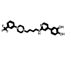 Oc1ccc(-c2ccnc(NCCCCN3CCN(c4cccc(C(F)(F)F)c4)CC3)c2)cc1O